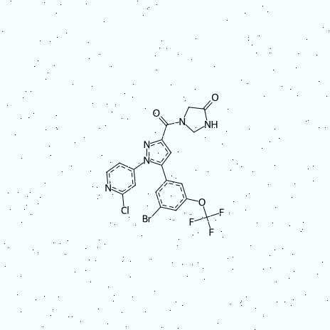 O=C1CN(C(=O)c2cc(-c3cc(Br)cc(OC(F)(F)F)c3)n(-c3ccnc(Cl)c3)n2)CN1